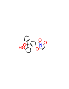 O=C1C=CC(=O)N1C(=O)c1ccc(C(OO)(c2ccccc2)c2ccccc2)cc1